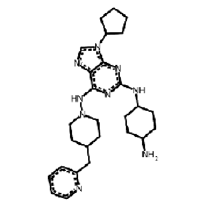 NC1CCC(Nc2nc(NN3CCC(Cc4ccccn4)CC3)c3ncn(C4CCCC4)c3n2)CC1